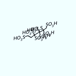 O=S(=O)(O)CCC(C(C(CS(=O)(=O)O)(S(=O)(=O)O)S(=O)(=O)O)(S(=O)(=O)O)S(=O)(=O)O)(S(=O)(=O)O)S(=O)(=O)O